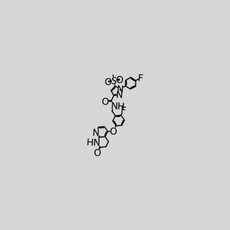 CS(=O)(=O)c1cc(C(=O)NCc2cc(Oc3ccnc4c3CCC(=O)N4)ccc2F)nn1-c1ccc(F)cc1